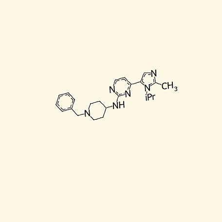 Cc1ncc(-c2ccnc(NC3CCN(Cc4ccccc4)CC3)n2)n1C(C)C